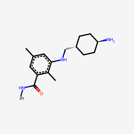 Cc1cc(NC[C@H]2CC[C@H](N)CC2)c(C)c(C(=O)NC(C)C)c1